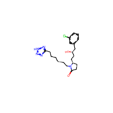 O=C1CC[C@H](CC[C@@H](O)Cc2cccc(Cl)c2)N1CCCCCCc1nn[nH]n1